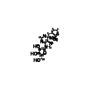 NC1(Cc2ccsc2Br)N=CN=C2C1=NCN2[C@@H]1O[C@H](CO)[C@@H](O)[C@H]1O